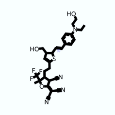 CCN(CCO)c1ccc(/C=C/C2SC(CCC3C(C#N)C(=C(C#N)C#N)OC3(C)C(F)(F)F)=CC2CO)cc1